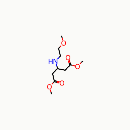 COCCNC(CC(=O)OC)CC(=O)OC